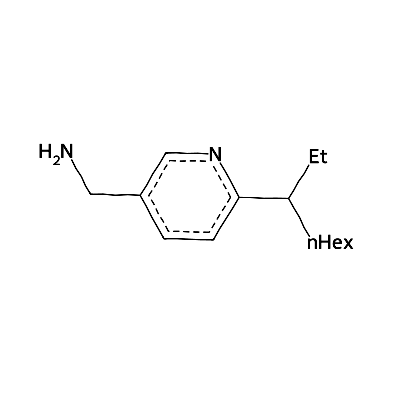 CCCCCCC(CC)c1ccc(CN)cn1